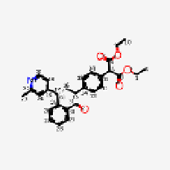 CCOC(=O)C(C(=O)OCC)c1ccc(CC[C@@H](c2ccnc(C)c2)c2ccccc2C=O)cc1